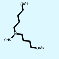 COCCCCN(C=O)CCCCOC